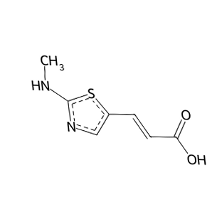 CNc1ncc(C=CC(=O)O)s1